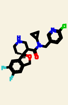 O=C(C1CNCC[C@@]12OCc1cc(F)c(F)cc12)N(Cc1ccc(Cl)nc1)C1CC1